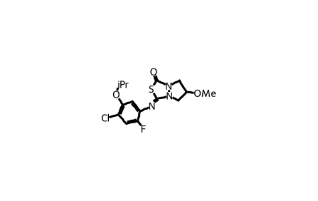 COC1Cn2c(=O)sc(=Nc3cc(OC(C)C)c(Cl)cc3F)n2C1